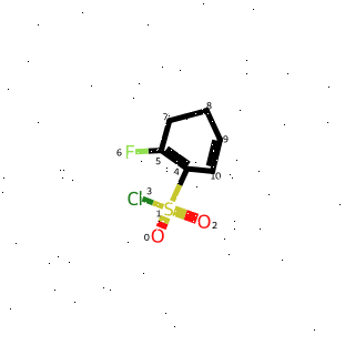 O=S(=O)(Cl)C1=C(F)CCC=C1